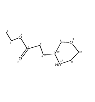 CCOC(=O)CC[C@@H]1COCCN1